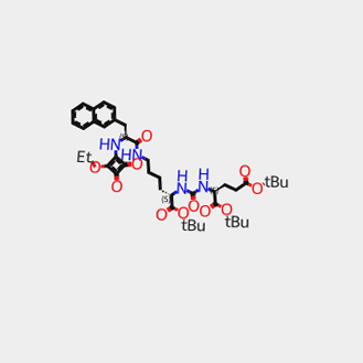 CCOc1c(N[C@@H](Cc2ccc3ccccc3c2)C(=O)NCCCC[C@H](NC(=O)N[C@@H](CCC(=O)OC(C)(C)C)C(=O)OC(C)(C)C)C(=O)OC(C)(C)C)c(=O)c1=O